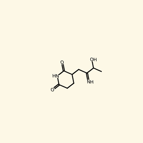 CC(O)C(=N)CC1CCC(=O)NC1=O